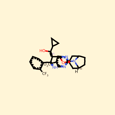 N=C(/C(COC1CC2CC[C@@H](C1)N2c1ncc(C(=O)O)cn1)=C(\O)C1CC1)c1ccccc1C(F)(F)F